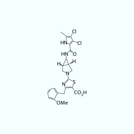 COc1ccccc1Cc1nc(N2C[C@@H]3C(NC(=O)c4[nH]c(C)c(Cl)c4Cl)[C@@H]3C2)sc1C(=O)O